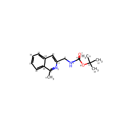 Cc1nc(CNC(=O)OC(C)(C)C)cc2ccccc12